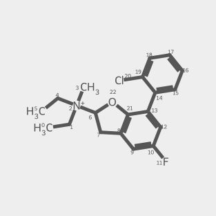 CC[N+](C)(CC)C1Cc2cc(F)cc(-c3ccccc3Cl)c2O1